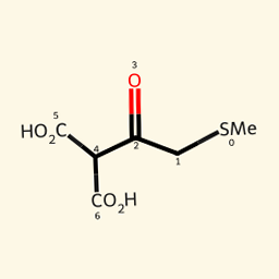 CSCC(=O)C(C(=O)O)C(=O)O